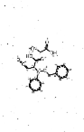 NCC(=O)O.O=C=C[C@@H](C(=O)O)N(OCc1ccccc1)c1ccccc1